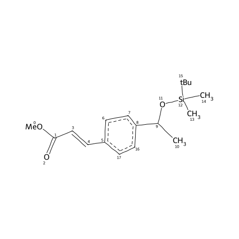 COC(=O)C=Cc1ccc(C(C)O[Si](C)(C)C(C)(C)C)cc1